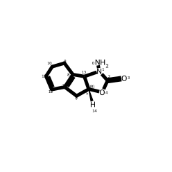 NN1C(=O)O[C@@H]2CC3=C(CCC=C3)C21